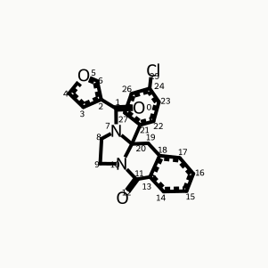 O=C(c1ccoc1)N1CCN2C(=O)c3ccccc3CC12c1ccc(Cl)cc1